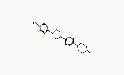 CCc1ccc(C2CCC(c3ccc(C4CCC(C)CC4)c(F)c3F)CC2)c(F)c1F